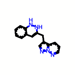 C1=C(Cc2cnn3ncccc23)NNc2ccccc21